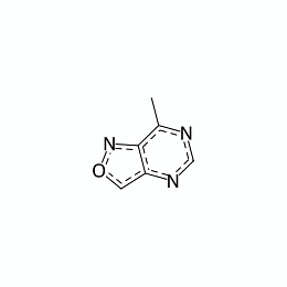 Cc1ncnc2conc12